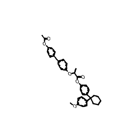 COc1ccc(C2(c3ccc(OC(=O)C(C)Oc4ccc(-c5ccc(OC(C)=O)cc5)cc4)cc3)CCCCC2)cc1